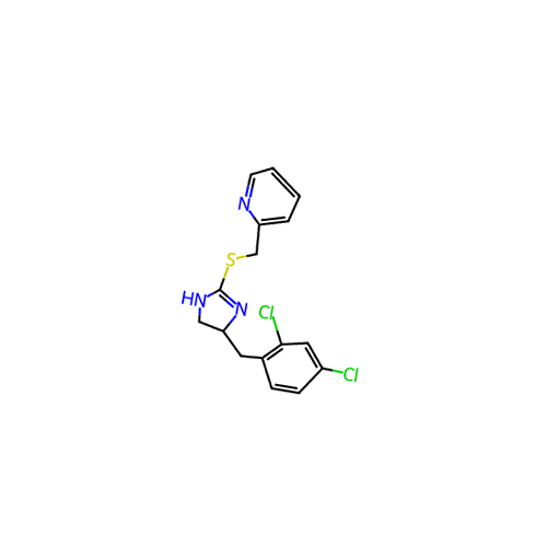 Clc1ccc(CC2CNC(SCc3ccccn3)=N2)c(Cl)c1